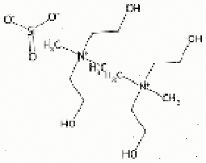 C[N+](C)(CCO)CCO.C[N+](C)(CCO)CCO.O=[Si]([O-])[O-]